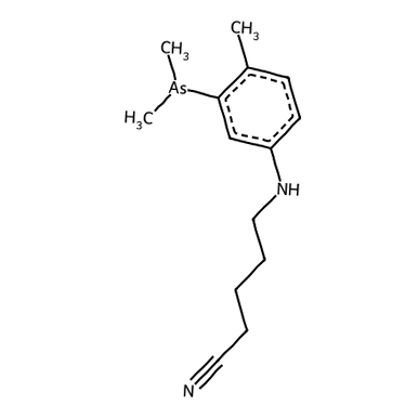 Cc1ccc(NCCCCC#N)cc1[As](C)C